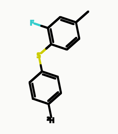 [2H]c1ccc(Sc2ccc(C)cc2F)cc1